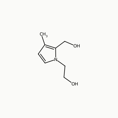 Cc1ccn(CCO)c1CO